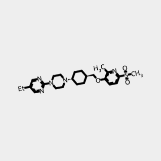 CCc1cnc(N2CCN([C@H]3CC[C@H](COc4ccc(S(C)(=O)=O)nc4C)CC3)CC2)nc1